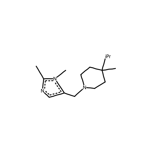 Cc1ncc(CN2CCC(C)(C(C)C)CC2)n1C